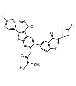 CCC1CC(NC(=O)c2cc(-c3cc4c(C(=O)NC)c(-c5ccc(F)cc5)oc4cc3CC(=O)N(C)C)ccc2F)C1